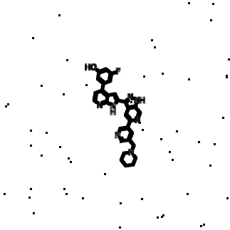 Oc1cc(F)cc(-c2ccnc3[nH]c(-c4n[nH]c5cnc(-c6cncc(CN7CCCCC7)c6)cc45)cc23)c1